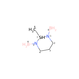 BN1CCCN(B)[SiH]1C